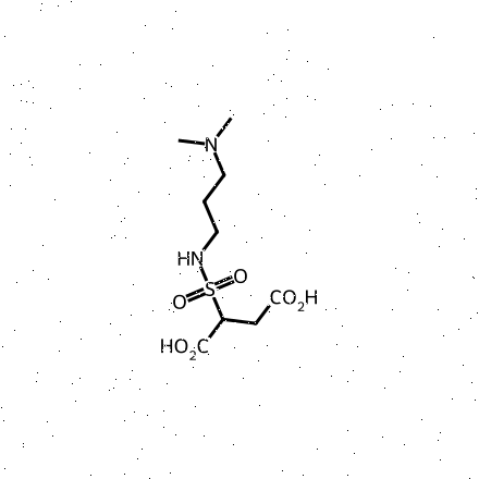 CN(C)CCCNS(=O)(=O)C(CC(=O)O)C(=O)O